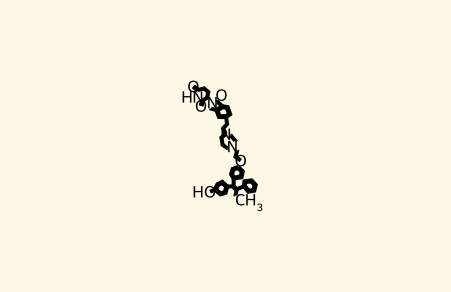 CCC(=C(c1ccc(O)cc1)c1ccc(OCCN2CCCN(CCc3ccc4c(c3)CN(C3CCC(=O)NC3=O)C4=O)CC2)cc1)c1ccccc1